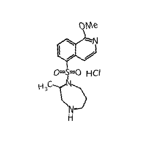 COc1nccc2c(S(=O)(=O)N3CCCNCC3C)cccc12.Cl